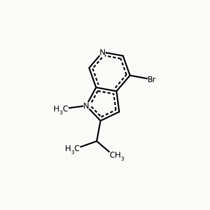 CC(C)c1cc2c(Br)cncc2n1C